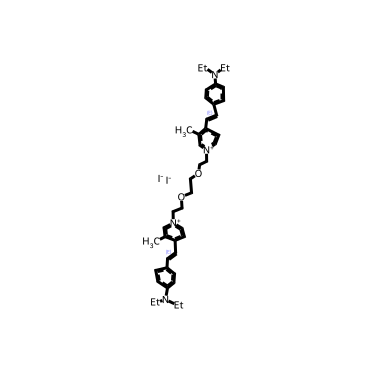 CCN(CC)c1ccc(/C=C/c2cc[n+](CCOCCOCC[n+]3ccc(/C=C/c4ccc(N(CC)CC)cc4)c(C)c3)cc2C)cc1.[I-].[I-]